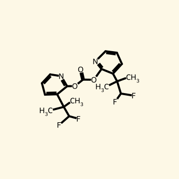 CC(C)(c1cccnc1OC(=O)Oc1ncccc1C(C)(C)C(F)F)C(F)F